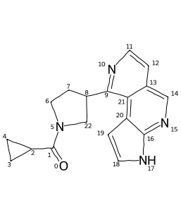 O=C(C1CC1)N1CCC(c2nccc3cnc4[nH]ccc4c23)C1